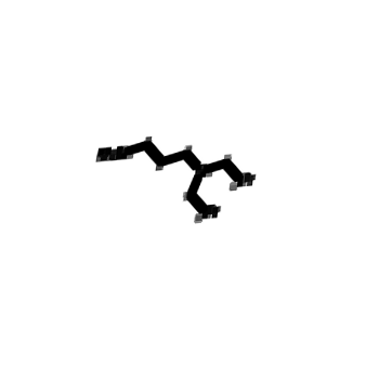 CNCCCN(CC(C)C)CC(C)C